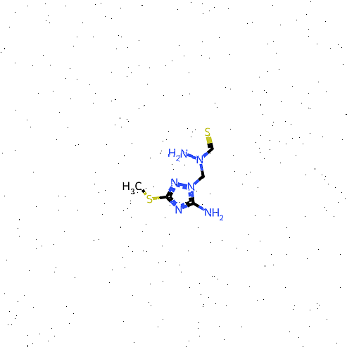 CSc1nc(N)n(CN(N)C=S)n1